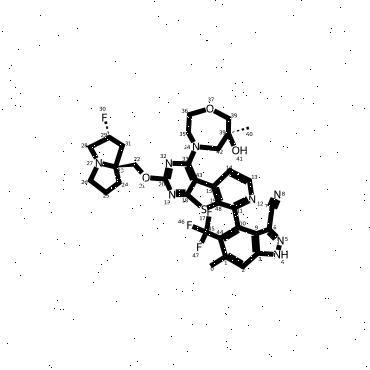 Cc1cc2[nH]nc(C#N)c2c(-c2nccc3c2sc2nc(OC[C@@]45CCCN4C[C@H](F)C5)nc(N4CCOC[C@@](C)(O)C4)c23)c1C(F)(F)F